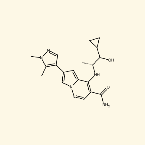 Cc1c(-c2cc3c(N[C@H](C)C(O)C4CC4)c(C(N)=O)cnn3c2)cnn1C